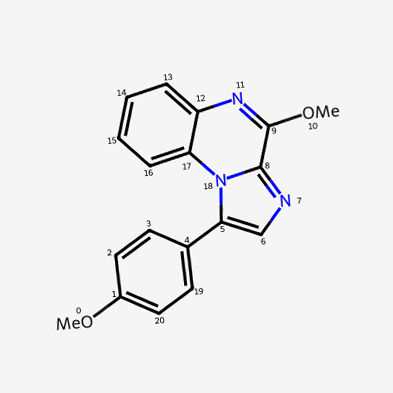 COc1ccc(-c2cnc3c(OC)nc4ccccc4n23)cc1